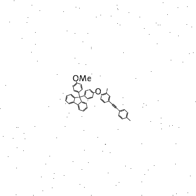 COc1ccc(C2(c3ccc(Oc4ccc(C#Cc5ccc(C)cc5)cc4C)cc3)c3ccccc3-c3ccccc32)cc1